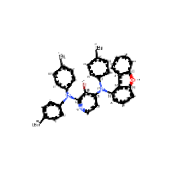 CC(C)(C)c1ccc(N(c2ccc(C(C)(C)C)cc2)c2nccc(N(c3ccc(C(C)(C)C)cc3)c3cccc4oc5ccccc5c34)c2Br)cc1